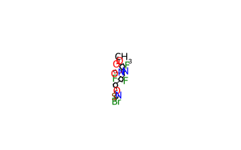 CCOC(=O)c1cc(F)c2nc(Cc3cc(F)c(-c4cccc(OCc5ncc(Br)s5)c4)cc3F)n(C[C@@H]3CCO3)c2c1